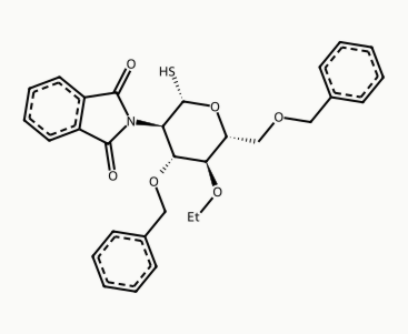 CCO[C@H]1[C@H](OCc2ccccc2)[C@@H](N2C(=O)c3ccccc3C2=O)[C@H](S)O[C@@H]1COCc1ccccc1